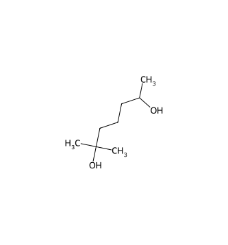 CC(O)CCCC(C)(C)O